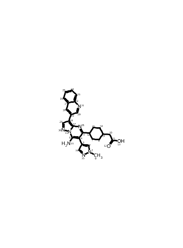 Cn1cc(-c2c(C3CCC(CC(=O)O)CC3)nc3c(-c4cnc5ccccc5c4)cnn3c2N)cn1